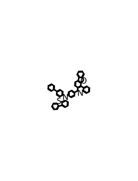 c1ccc(-c2ccc(N(c3ccc(-c4nc5ccccc5c5c4ccc4c6ccccc6oc45)cc3)c3cccc4c3sc3ccccc34)cc2)cc1